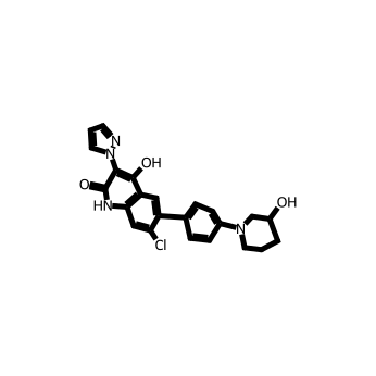 O=c1[nH]c2cc(Cl)c(-c3ccc(N4CCCC(O)C4)cc3)cc2c(O)c1-n1cccn1